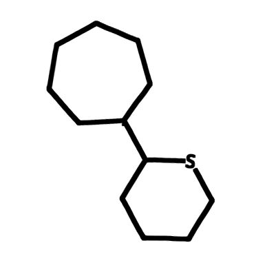 C1CCC[C](C2CCCCS2)CC1